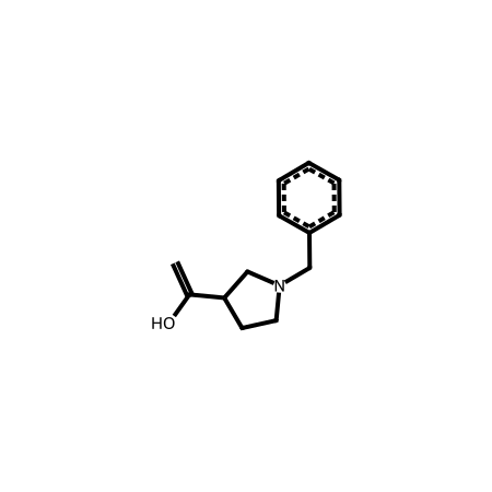 C=C(O)C1CCN(Cc2ccccc2)C1